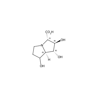 O=C(O)[C@@H]1[C@@H](O)[C@H](O)[C@H]2C(O)CCN12